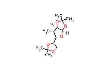 C[C@@H]1[C@H]2OC(C)(C)O[C@H]2O[C@@H]1[C@H]1COC(C)(C)O1